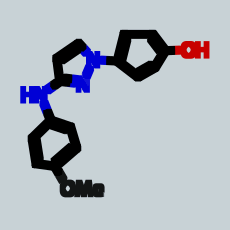 COc1ccc(Nc2ccn(-c3ccc(O)cc3)n2)cc1